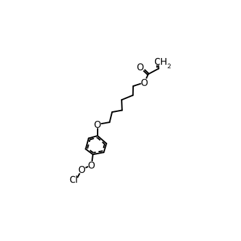 C=CC(=O)OCCCCCCOc1ccc(OOCl)cc1